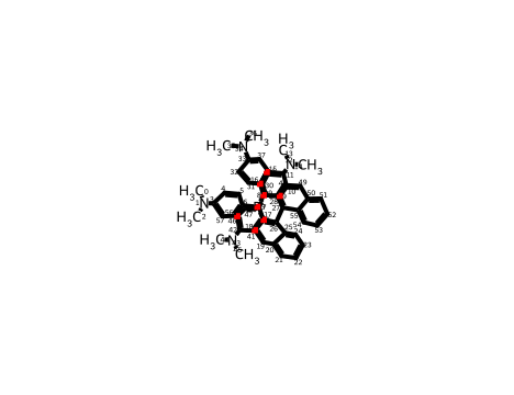 CN(C)c1ccc(P(c2ccc(N(C)C)cc2)c2ccc3ccccc3c2-c2c(P(c3ccc(N(C)C)cc3)c3ccc(N(C)C)cc3)ccc3ccccc23)cc1